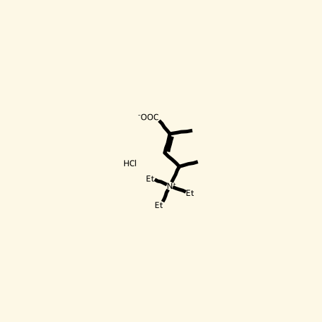 CC[N+](CC)(CC)C(C)C=C(C)C(=O)[O-].Cl